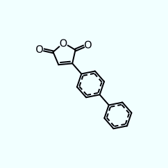 O=C1C=C(c2ccc(-c3ccccc3)cc2)C(=O)O1